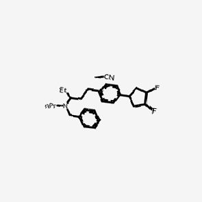 CC#N.CCCN(Cc1ccccc1)C(CC)CCc1ccc(C2CC(F)C(F)C2)cc1